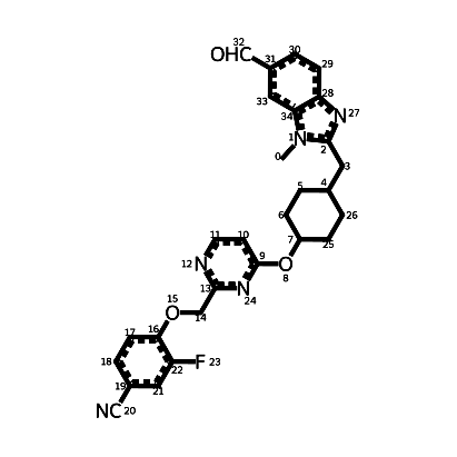 Cn1c(CC2CCC(Oc3ccnc(COc4ccc(C#N)cc4F)n3)CC2)nc2ccc(C=O)cc21